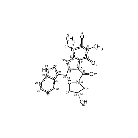 CCn1c(=O)n(C)c(=O)c2c(C(=O)N3C[C@H](O)CO3)c(Cc3c[nH]c4ncccc34)sc21